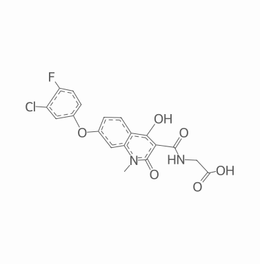 Cn1c(=O)c(C(=O)NCC(=O)O)c(O)c2ccc(Oc3ccc(F)c(Cl)c3)cc21